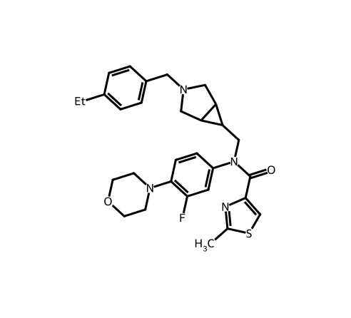 CCc1ccc(CN2CC3C(C2)C3CN(C(=O)c2csc(C)n2)c2ccc(N3CCOCC3)c(F)c2)cc1